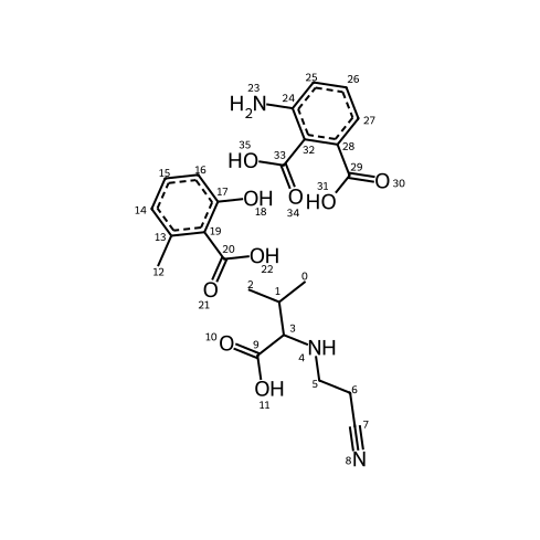 CC(C)C(NCCC#N)C(=O)O.Cc1cccc(O)c1C(=O)O.Nc1cccc(C(=O)O)c1C(=O)O